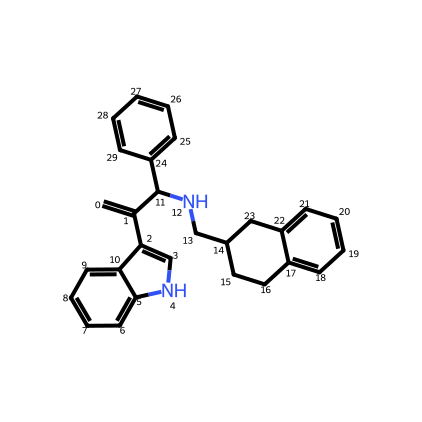 C=C(c1c[nH]c2ccccc12)C(NCC1CCc2ccccc2C1)c1ccccc1